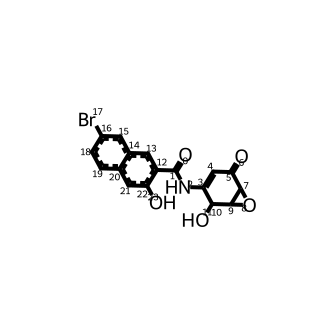 O=C(NC1=CC(=O)C2OC2C1O)c1cc2cc(Br)ccc2cc1O